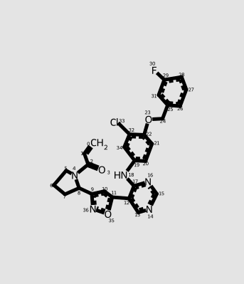 C=CC(=O)N1CCCC1c1cc(-c2cncnc2Nc2ccc(OCc3cccc(F)c3)c(Cl)c2)on1